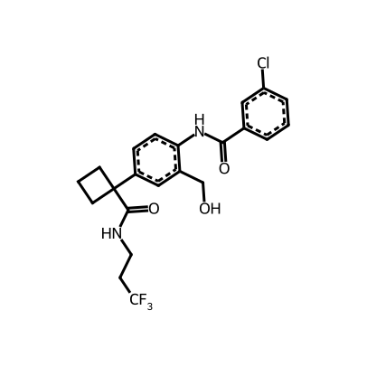 O=C(Nc1ccc(C2(C(=O)NCCC(F)(F)F)CCC2)cc1CO)c1cccc(Cl)c1